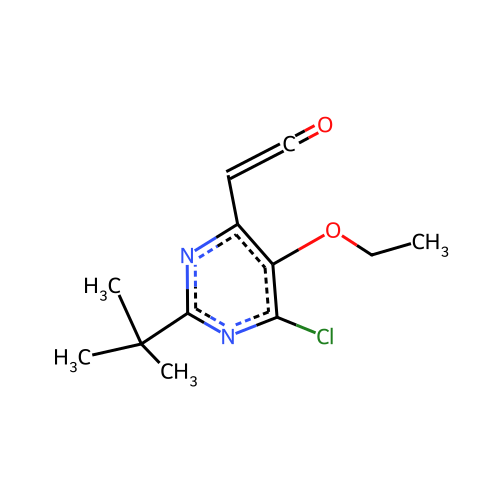 CCOc1c(Cl)nc(C(C)(C)C)nc1C=C=O